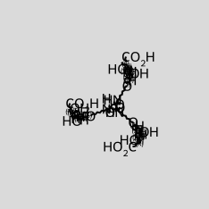 C=C[C@H](CCC(=O)O)[C@H]1CC[C@H]2[C@H]3C(C[C@H](O)[C@]12C)[C@@]1(C)CC[C@H](OCCCCCCNC(=O)C2(C)CC(C)(C(=O)NCCCCCCO[C@@H]4CC[C@]5(C)C6C[C@H](O)[C@]7(C)[C@@H]([C@H](C)CCC(=O)O)CC[C@H]7[C@@H]6[C@H](O)C[C@@H]5C4)CC(C)(C(=O)NCCCCCCO[C@H]4CC[C@]5(C)C6C[C@H](O)[C@]7(C)[C@@H]([C@H](C)CCC(=O)O)CC[C@H]7[C@@H]6[C@H](O)C[C@@H]5C4)C2)C[C@H]1C[C@H]3O